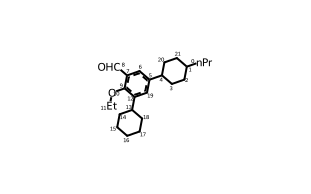 CCCC1CCC(c2cc(C=O)c(OCC)c(C3CCCCC3)c2)CC1